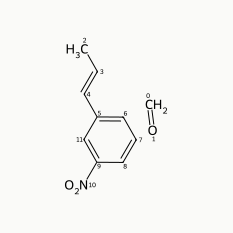 C=O.CC=Cc1cccc([N+](=O)[O-])c1